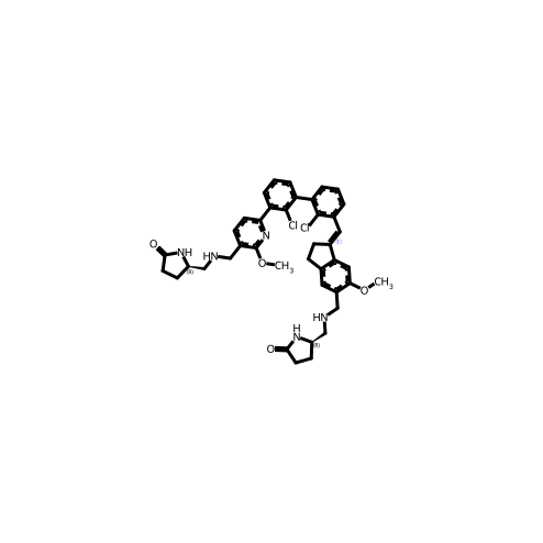 COc1cc2c(cc1CNC[C@H]1CCC(=O)N1)CC/C2=C\c1cccc(-c2cccc(-c3ccc(CNC[C@H]4CCC(=O)N4)c(OC)n3)c2Cl)c1Cl